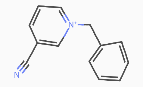 N#Cc1ccc[n+](Cc2ccccc2)c1